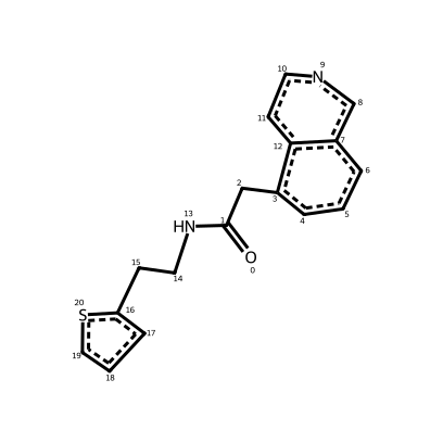 O=C(Cc1cccc2cnccc12)NCCc1cccs1